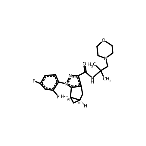 CC(C)(CN1CCOCC1)NC(=O)c1nn(-c2ccc(F)cc2F)c2c1C[C@H]1C[C@@H]21